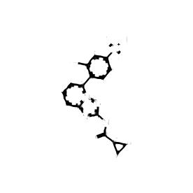 CS(=O)(=O)c1ccc(-c2cccc3nc(NC(=O)C4CC4)nn23)c(F)c1